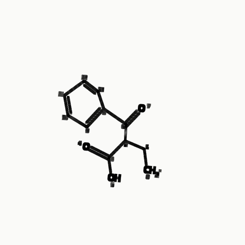 [CH2]CC(C(=O)O)C(=O)c1ccccc1